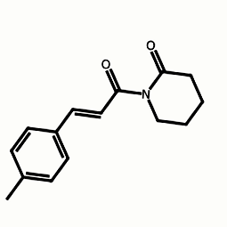 Cc1ccc(C=CC(=O)N2CCCCC2=O)cc1